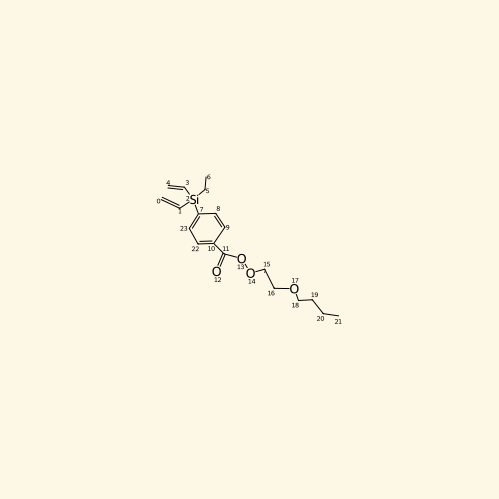 C=C[Si](C=C)(CC)c1ccc(C(=O)OO[CH]COCCCC)cc1